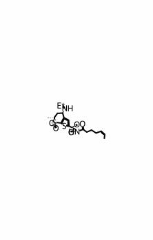 C/C=C\CCCC(=O)NS(=O)(=O)c1cc2c(s1)S(=O)(=O)[C@H](C)C[C@H]2NCC